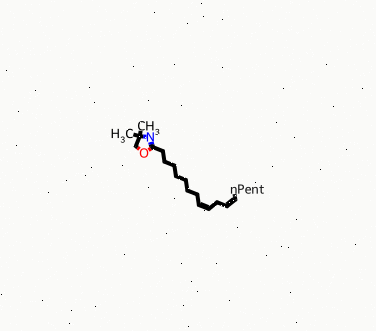 CCCCC/C=C\C/C=C\CCCCCCCC1=NC(C)(C)CO1